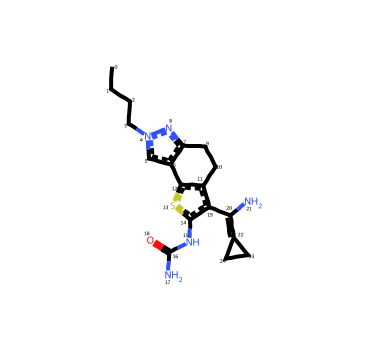 CCCCn1cc2c(n1)CCc1c-2sc(NC(N)=O)c1C(N)=C1CC1